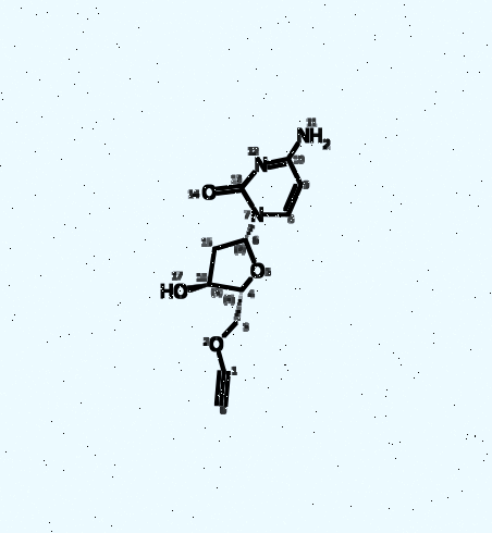 C#COC[C@H]1O[C@@H](n2ccc(N)nc2=O)C[C@@H]1O